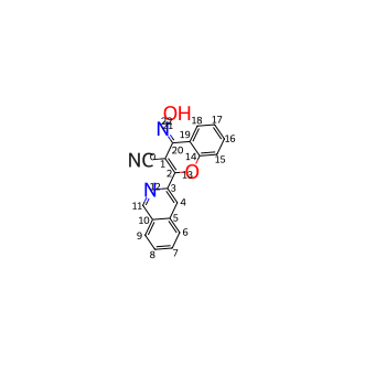 N#Cc1c(-c2cc3ccccc3cn2)oc2ccccc2c1=NO